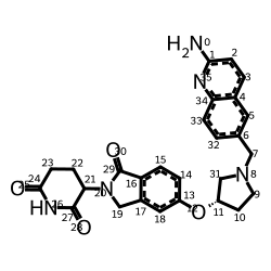 Nc1ccc2cc(CN3CC[C@H](Oc4ccc5c(c4)CN(C4CCC(=O)NC4=O)C5=O)C3)ccc2n1